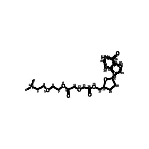 CN(C)CCOCCOC(=O)COCC(=O)OCC1CCC(n2cnc3c(=O)[nH]cnc32)O1